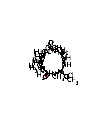 CC[C@H](C)[C@H]1CN[C@@H](CC(C)C)C(C)NCC2[C@@H](C(=O)N3CCCCC3)C(C)N2[C@@H](C2CCC2)C(C)NC2(CCCC2)CNCCNC=CC(CCc2ccc(C(F)(F)F)c(Cl)c2)=NC=CN(C)C=C(CC2CCCCC2)N(C)C=C2CCCN2[C@@H](C)C(C)N1